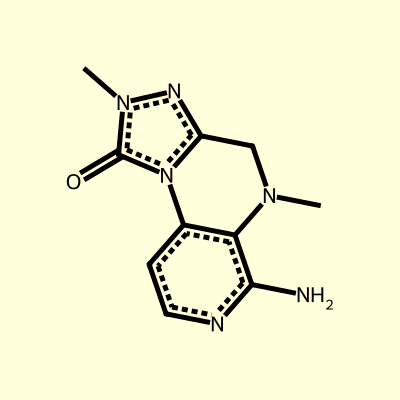 CN1Cc2nn(C)c(=O)n2-c2ccnc(N)c21